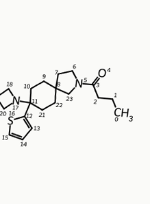 CCCC(=O)N1CCC2(CCC(c3cccs3)(N3CCC3)CC2)C1